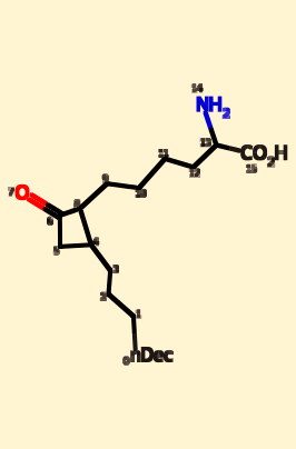 CCCCCCCCCCCCCC1CC(=O)C1CCCCC(N)C(=O)O